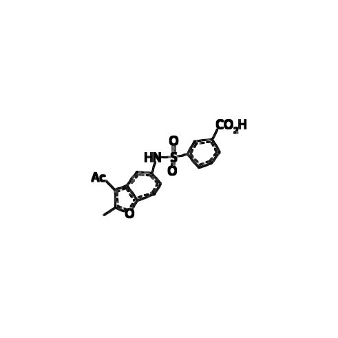 CC(=O)c1c(C)oc2ccc(NS(=O)(=O)c3cccc(C(=O)O)c3)cc12